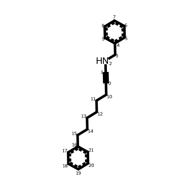 C(#CNCc1ccccc1)CCCCCCc1ccccc1